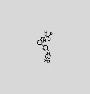 O=C(Nc1cc2cccc(-c3ccc(CN4CCS(=O)(=O)CC4)cc3)n2n1)C1CC1